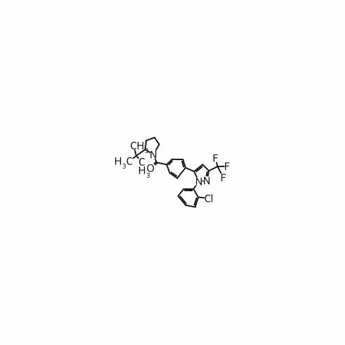 CC(C)(C)C1CCCN1C(=O)c1ccc(-c2cc(C(F)(F)F)nn2-c2ccccc2Cl)cc1